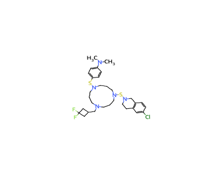 CN(C)c1ccc(SN2CCCN(CC3CC(F)(F)C3)CCCN(SN3CCc4cc(Cl)ccc4C3)CCC2)cc1